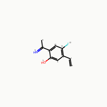 C=Cc1cc(O)c(C(C)=N)cc1F